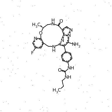 CCCNC(=O)Nc1ccc(-c2c3nc4c(cnn4c2N)C(=O)NC[C@H](C)Oc2ncc(F)cc2CN3)cc1